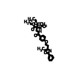 CCOC(=O)C(CCC(=O)c1ccc(OCCc2nc(-c3ccccc3)oc2C)cc1)(NC(C)=O)C(=O)OCC